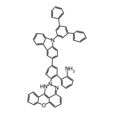 Nc1ccccc1-c1cc(-c2ccc3c(c2)c2ccccc2n3-c2cc(-c3ccccc3)cc(-c3ccccc3)c2)ccc1N1N=c2cccc3c2=C(N1)c1ccccc1O3